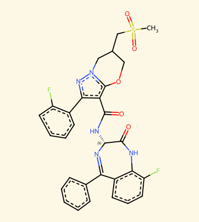 CS(=O)(=O)CC1COc2c(C(=O)N[C@H]3N=C(c4ccccc4)c4cccc(F)c4NC3=O)c(-c3ccccc3F)nn2C1